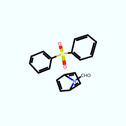 O=Cn1c2ccc1cc2.O=S(=O)(c1ccccc1)c1ccccc1